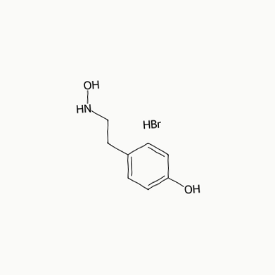 Br.ONCCc1ccc(O)cc1